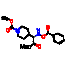 COC(=O)[C@@H](NOC(=O)c1ccccc1)C1CCN(C(=O)OC(C)(C)C)CC1